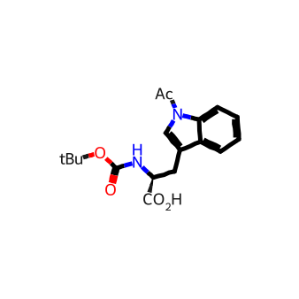 CC(=O)n1cc(C[C@H](NC(=O)OC(C)(C)C)C(=O)O)c2ccccc21